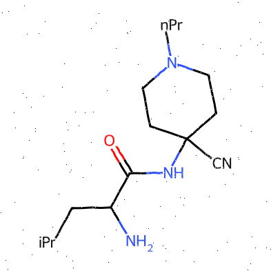 CCCN1CCC(C#N)(NC(=O)C(N)CC(C)C)CC1